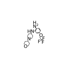 Nc1ccc(OCC(F)(F)F)cc1NC1CCN(C2CCOCC2)CC1